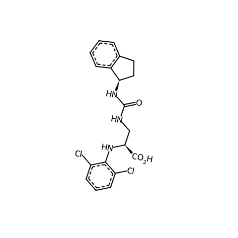 O=C(NC[C@H](Nc1c(Cl)cccc1Cl)C(=O)O)N[C@@H]1CCc2ccccc21